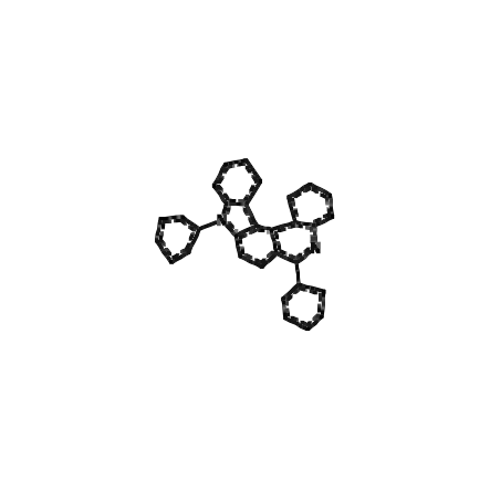 c1ccc(-c2nc3ccccc3c3c2ccc2c3c3ccccc3n2-c2ccccc2)cc1